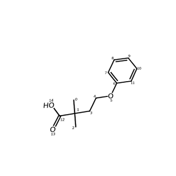 CC(C)(CCOc1ccccc1)C(=O)O